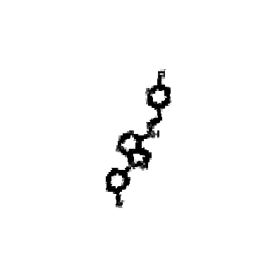 Clc1ccc(/C=N/Nc2ncnc3c2cnn3-c2cccc(Br)c2)cn1